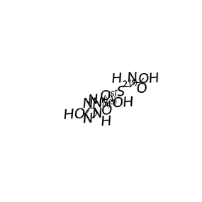 N[C@@H](CCSC[C@H]1O[C@@H](n2nnc3c(O)ncnc32)[C@H](O)[C@@H]1O)C(=O)O